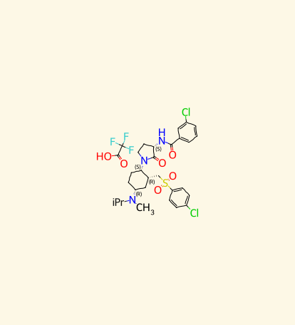 CC(C)N(C)[C@@H]1CC[C@H](N2CC[C@H](NC(=O)c3cccc(Cl)c3)C2=O)[C@H](CS(=O)(=O)c2ccc(Cl)cc2)C1.O=C(O)C(F)(F)F